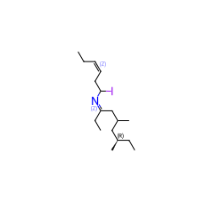 CC/C=C\CC(I)/N=C(/CC)CC(C)C[C@H](C)CC